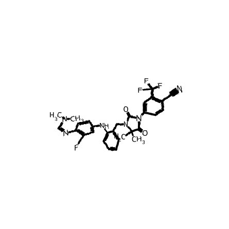 CN(C)/C=N\c1ccc(Nc2ccccc2CN2C(=O)N(c3ccc(C#N)c(C(F)(F)F)c3)C(=O)C2(C)C)cc1F